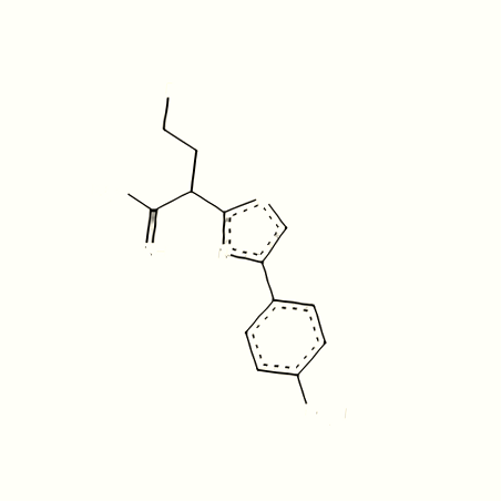 N=C(C(=O)O)C(CCF)c1nc(-c2ccc(C(=O)O)cc2)cs1